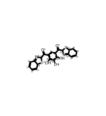 O=C(c1cc(C(=O)C2N=C3C=CC=CC3S2)c(O)c(O)c1O)C1N=C2C=CC=CC2S1